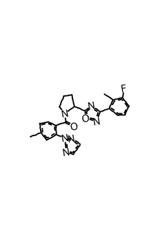 Cc1ccc(C(=O)N2CCCC2c2nc(-c3cccc(F)c3C)no2)c(-n2nccn2)c1